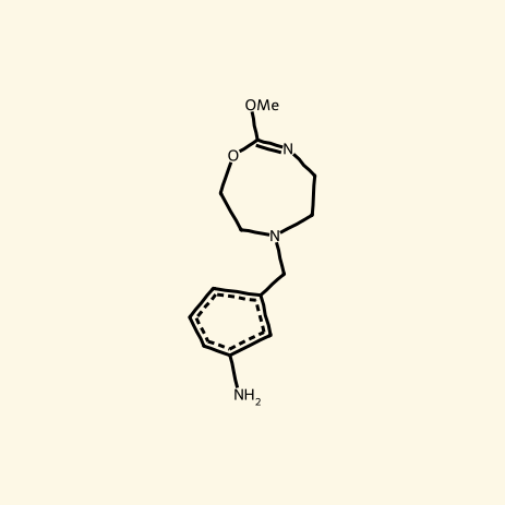 CO/C1=N/CCN(Cc2cccc(N)c2)CCO1